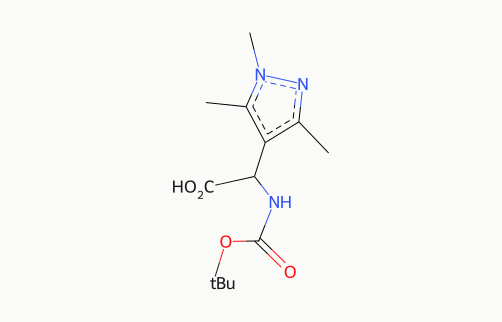 Cc1nn(C)c(C)c1C(NC(=O)OC(C)(C)C)C(=O)O